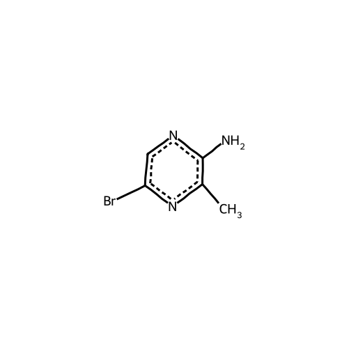 Cc1nc(Br)cnc1N